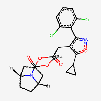 CC(C)(C)OC(=O)N1[C@@H]2CC[C@H]1C[C@@H](OC(=O)Cc1c(-c3c(Cl)cccc3Cl)noc1C1CC1)C2